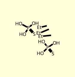 CCC.CCC.CCC.OP(O)(O)=S.OP(O)(O)=S